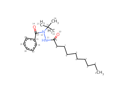 CCCCCCCCCC(=O)NN(C(=O)c1ccccc1)C(C)(C)C